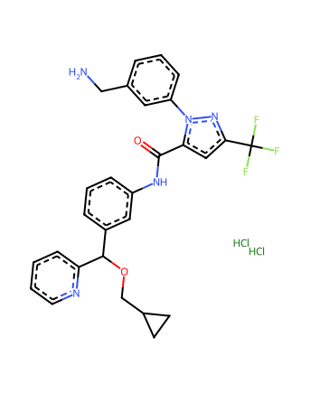 Cl.Cl.NCc1cccc(-n2nc(C(F)(F)F)cc2C(=O)Nc2cccc(C(OCC3CC3)c3ccccn3)c2)c1